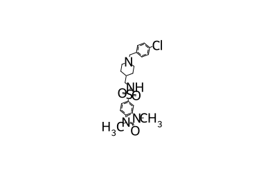 Cn1c(=O)n(C)c2cc(S(=O)(=O)NCC3CCN(Cc4ccc(Cl)cc4)CC3)ccc21